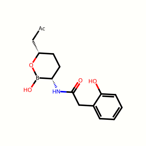 CC(=O)C[C@@H]1CC[C@H](NC(=O)Cc2ccccc2O)B(O)O1